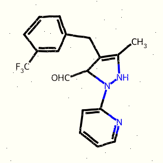 CC1=C(Cc2cccc(C(F)(F)F)c2)C(C=O)N(c2ccccn2)N1